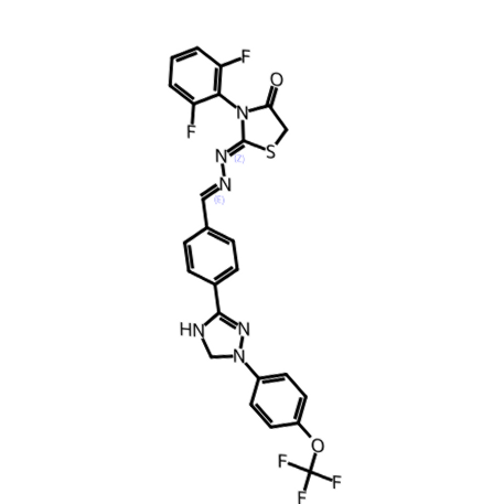 O=C1CS/C(=N\N=C\c2ccc(C3=NN(c4ccc(OC(F)(F)F)cc4)CN3)cc2)N1c1c(F)cccc1F